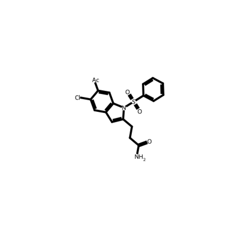 CC(=O)c1cc2c(cc1Cl)cc(CCC(N)=O)n2S(=O)(=O)c1ccccc1